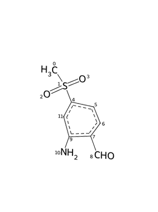 CS(=O)(=O)c1ccc(C=O)c(N)c1